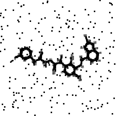 Cc1cccc(NC(=O)NCC(=O)N(C)c2ccc(Cl)c(COc3cccn4cc(C)nc34)c2Cl)c1